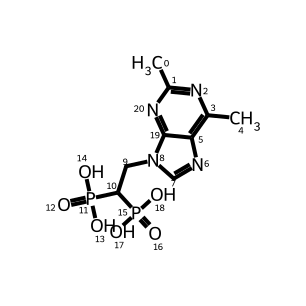 Cc1nc(C)c2ncn(CC(P(=O)(O)O)P(=O)(O)O)c2n1